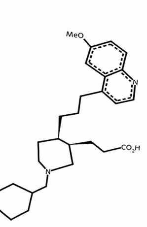 COc1ccc2nccc(CCC[C@@H]3CCN(CC4CCCCC4)C[C@@H]3CCC(=O)O)c2c1